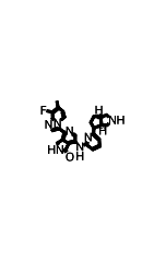 Cc1ccn2c(-c3ncc(Nc4cccc(C5CC[C@@H]6CNC[C@H]56)n4)c4c3CNC4=O)cnc2c1F